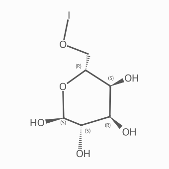 O[C@H]1[C@H](O)[C@@H](O)O[C@H](COI)[C@H]1O